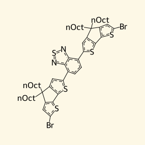 CCCCCCCCC1(CCCCCCCC)c2cc(Br)sc2-c2sc(-c3ccc(-c4cc5c(s4)-c4sc(Br)cc4C5(CCCCCCCC)CCCCCCCC)c4nsnc34)cc21